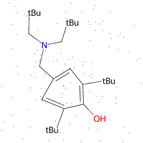 CC(C)(C)CN(Cc1cc(C(C)(C)C)c(O)c(C(C)(C)C)c1)CC(C)(C)C